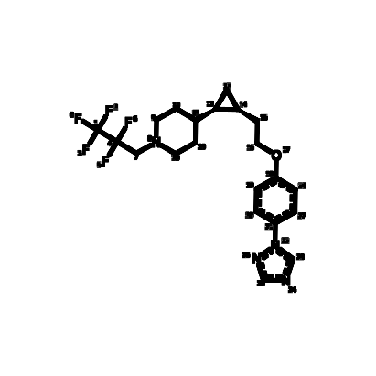 FC(F)(F)C(F)(F)CN1CCC([C@H]2C[C@H]2CCOc2ccc(-n3cncn3)cc2)CC1